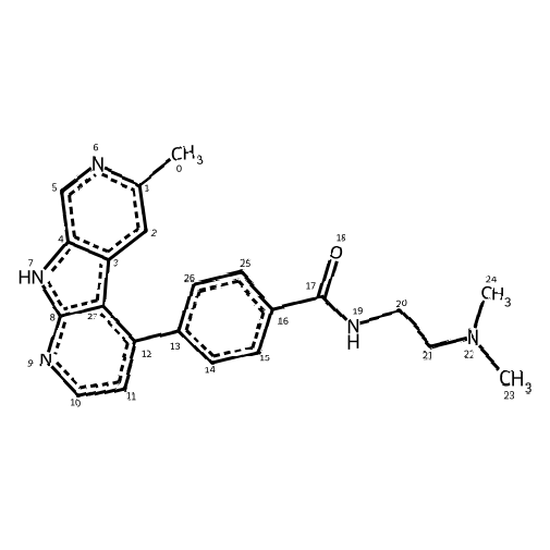 Cc1cc2c(cn1)[nH]c1nccc(-c3ccc(C(=O)NCCN(C)C)cc3)c12